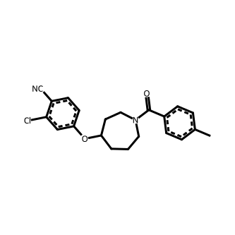 Cc1ccc(C(=O)N2CCCC(Oc3ccc(C#N)c(Cl)c3)CC2)cc1